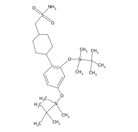 CC(C)(C)[Si](C)(C)Oc1ccc(C2CCC(CS(N)(=O)=O)CC2)c(O[Si](C)(C)C(C)(C)C)c1